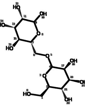 OC[C@H]1OC(OC[C@H]2OC(O)[C@@H](O)[C@@H](O)[C@@H]2O)[C@@H](O)[C@@H](O)[C@@H]1O